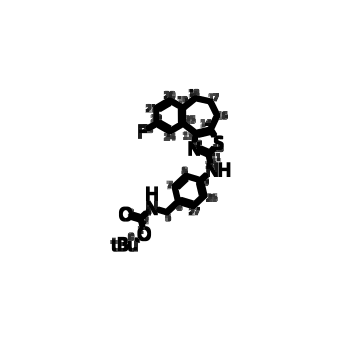 CC(C)(C)OC(=O)NCc1ccc(Nc2nc3c(s2)CCCc2ccc(F)cc2-3)cc1